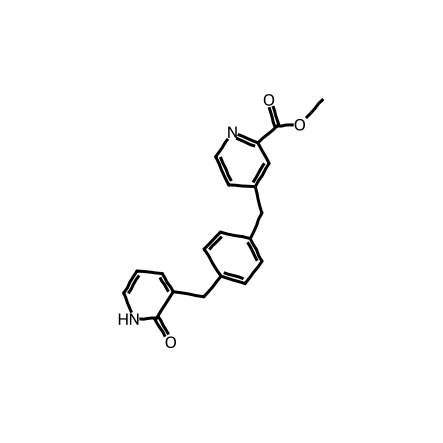 COC(=O)c1cc(Cc2ccc(Cc3ccc[nH]c3=O)cc2)ccn1